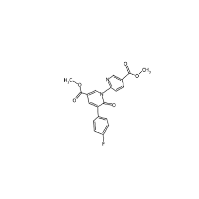 COC(=O)c1ccc(-n2cc(C(=O)OC)cc(-c3ccc(F)cc3)c2=O)nc1